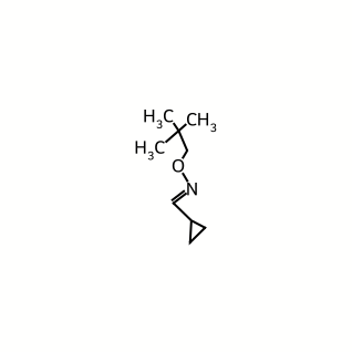 CC(C)(C)CO/N=C/C1CC1